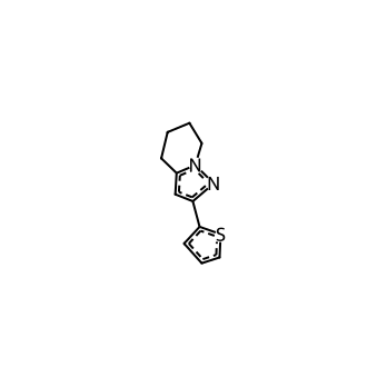 c1csc(-c2cc3n(n2)CCCC3)c1